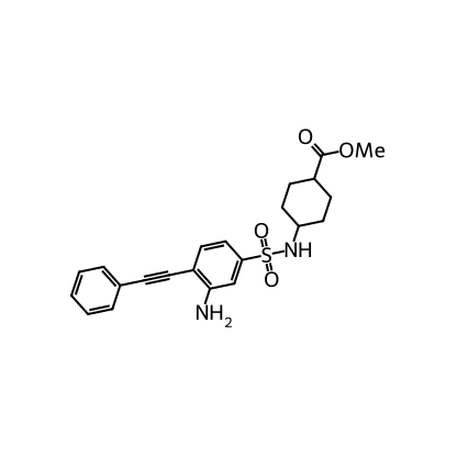 COC(=O)C1CCC(NS(=O)(=O)c2ccc(C#Cc3ccccc3)c(N)c2)CC1